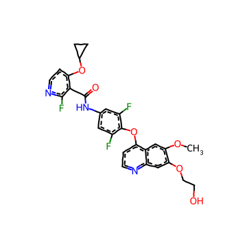 COc1cc2c(Oc3c(F)cc(NC(=O)c4c(OC5CC5)ccnc4F)cc3F)ccnc2cc1OCCO